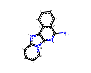 Nc1nc2c(nc3ccccn32)c2ccccc12